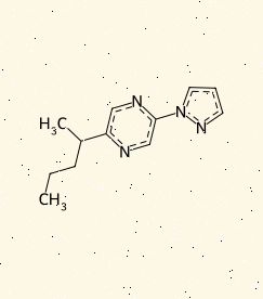 CCCC(C)c1cnc(-n2cccn2)cn1